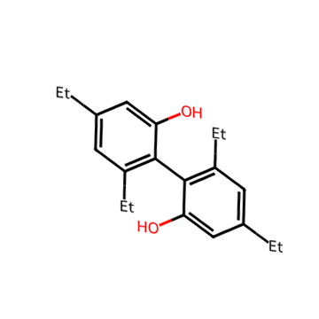 CCc1cc(O)c(-c2c(O)cc(CC)cc2CC)c(CC)c1